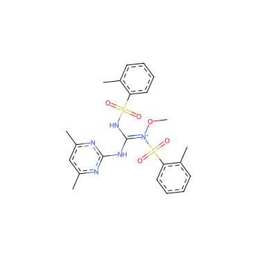 CO[N+](=C(Nc1nc(C)cc(C)n1)NS(=O)(=O)c1ccccc1C)S(=O)(=O)c1ccccc1C